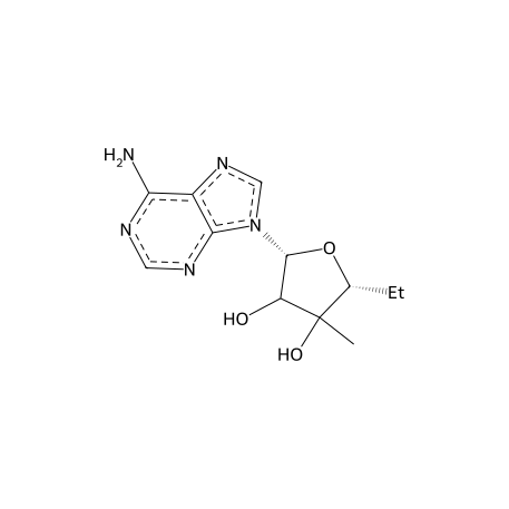 CC[C@H]1O[C@@H](n2cnc3c(N)ncnc32)C(O)C1(C)O